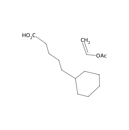 C=COC(C)=O.O=C(O)CCCCC1CCCCC1